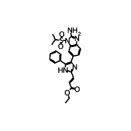 CCOC(=O)C=Cc1nc(-c2ccc3nc(N)n(S(=O)(=O)C(C)C)c3c2)c(-c2ccccc2)[nH]1